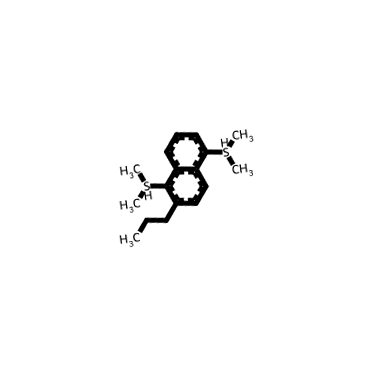 CCCc1ccc2c([SH](C)C)cccc2c1[SH](C)C